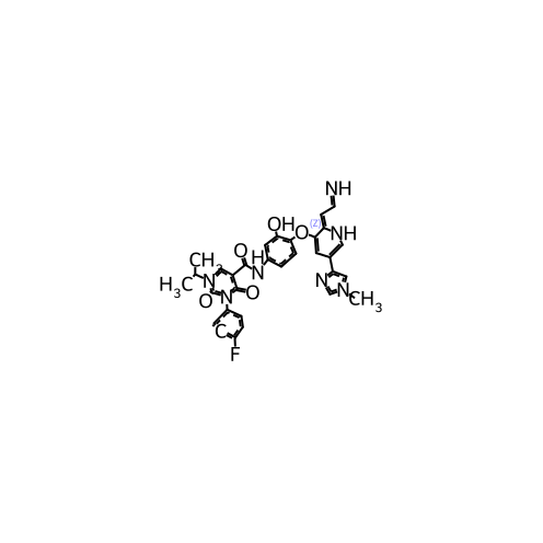 CC(C)n1cc(C(=O)Nc2ccc(OC3=CC(c4cn(C)cn4)=CN/C3=C\C=N)c(O)c2)c(=O)n(-c2ccc(F)cc2)c1=O